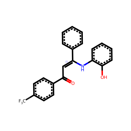 O=C(/C=C(\Nc1ccccc1O)c1ccccc1)c1ccc(C(F)(F)F)cc1